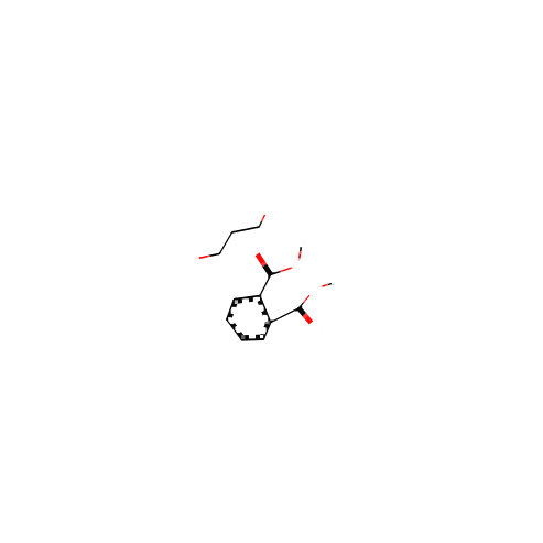 CCCCCCCCOC(=O)c1ccccc1C(=O)OCCCCCCCC.OCCCO